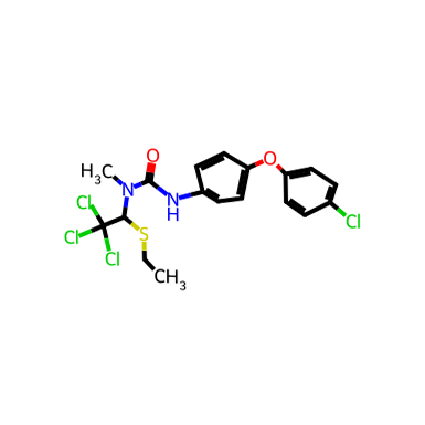 CCSC(N(C)C(=O)Nc1ccc(Oc2ccc(Cl)cc2)cc1)C(Cl)(Cl)Cl